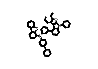 C=Cc1oc2c(c1/C=C\C)c1c(-c3cccc(N(c4ccc(-c5ccccc5)cc4)c4cccc5c4sc4ccccc45)c3)cccc1n2-c1ccccc1